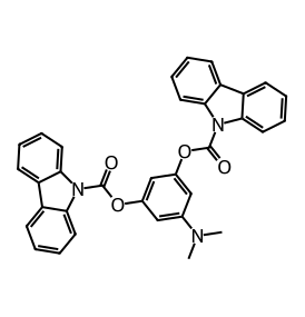 CN(C)c1cc(OC(=O)n2c3ccccc3c3ccccc32)cc(OC(=O)n2c3ccccc3c3ccccc32)c1